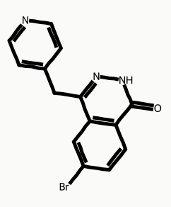 O=c1[nH]nc(Cc2ccncc2)c2cc(Br)ccc12